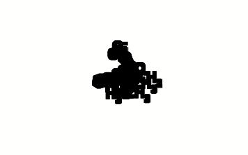 C=C(C)C(C(=O)OCc1ccc([N+](=O)[O-])cc1)N1C(=O)C(NC(=O)COc2ccccc2)C1S(=S)C(C)(C)C